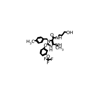 CNC1=C(C(=O)NCCCO)N(Cc2ccc(C)cc2)C(Oc2cccc(OC(F)(F)F)c2)N1